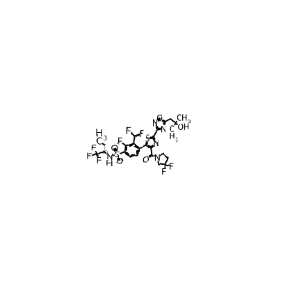 CC[C@H](NS(=O)(=O)c1ccc(-c2sc(-c3noc(CC(C)(C)O)n3)nc2C(=O)N2CCC(F)(F)C2)c(C(F)F)c1F)C(F)(F)F